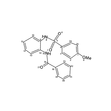 COc1ccc(S(=O)(=O)Nc2ccccc2NC(=O)c2ccccc2)cc1